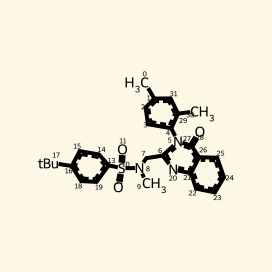 Cc1ccc(-n2c(CN(C)S(=O)(=O)c3ccc(C(C)(C)C)cc3)nc3ccccc3c2=O)c(C)c1